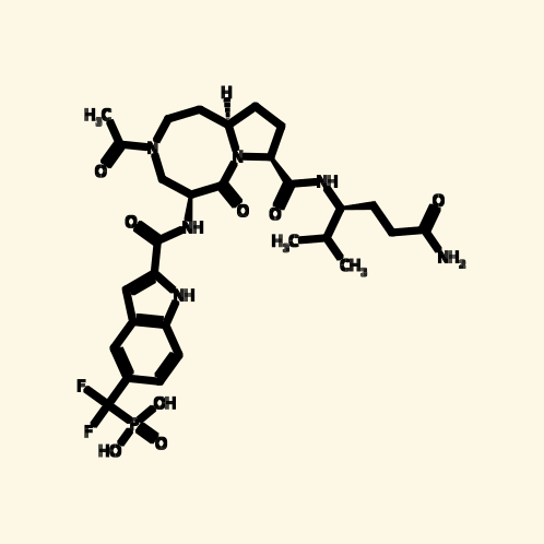 CC(=O)N1CC[C@H]2CC[C@@H](C(=O)N[C@@H](CCC(N)=O)C(C)C)N2C(=O)[C@@H](NC(=O)c2cc3cc(C(F)(F)P(=O)(O)O)ccc3[nH]2)C1